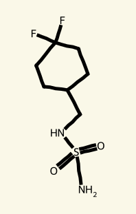 NS(=O)(=O)NCC1CCC(F)(F)CC1